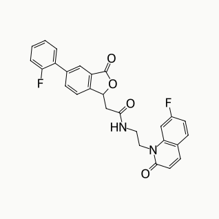 O=C(CC1OC(=O)c2cc(-c3ccccc3F)ccc21)NCCn1c(=O)ccc2ccc(F)cc21